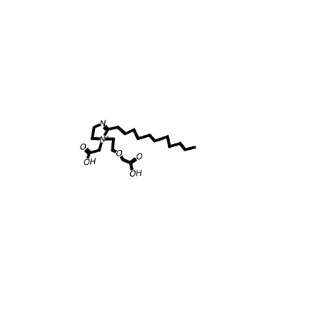 CCCCCCCCCCCC1=NCC[N+]1(CCOCC(=O)O)CC(=O)O